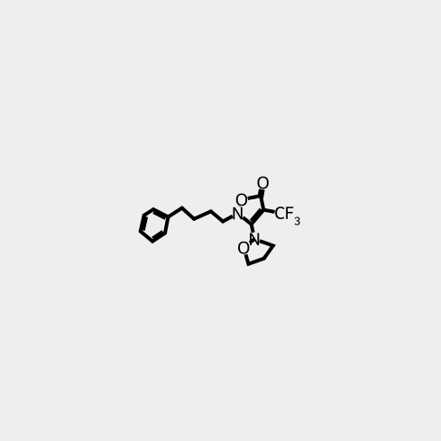 O=c1on(CCCCc2ccccc2)c(N2CCCO2)c1C(F)(F)F